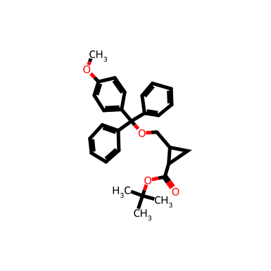 COc1ccc(C(OCC2CC2C(=O)OC(C)(C)C)(c2ccccc2)c2ccccc2)cc1